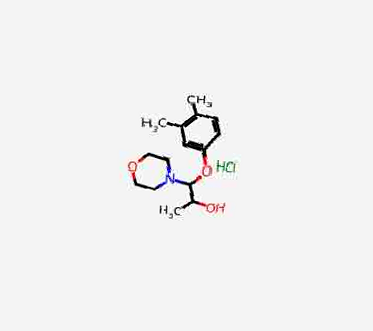 Cc1ccc(OC(C(C)O)N2CCOCC2)cc1C.Cl